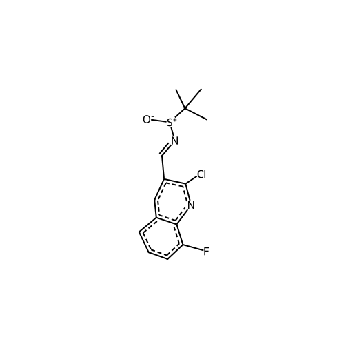 CC(C)(C)[S+]([O-])N=Cc1cc2cccc(F)c2nc1Cl